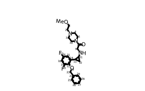 COCCN1CCN(C(=O)CNC2CC2c2cc(F)cc(F)c2OCc2ccccc2)CC1